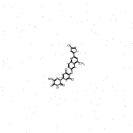 Cc1cc(-c2cc(Cl)cs2)nc2ccc(Oc3c(Cl)cc(-n4nc(C#N)c(=O)[nH]c4=O)cc3Cl)cc12